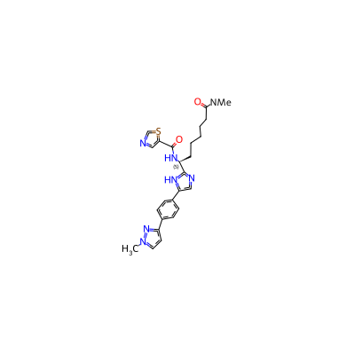 CNC(=O)CCCCC[C@H](NC(=O)c1cncs1)c1ncc(-c2ccc(-c3ccn(C)n3)cc2)[nH]1